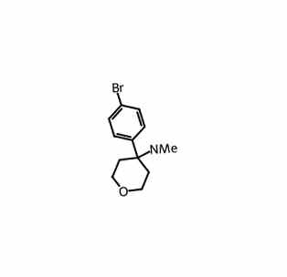 CNC1(c2ccc(Br)cc2)CCOCC1